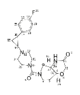 O=C1CO[C@H]2CCN(C(=O)N3CCN(C4CC4c4ccc(F)cc4)CC3)C[C@H]2N1